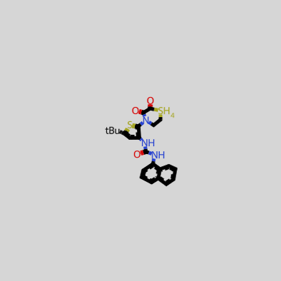 CC(C)(C)c1cc(NC(=O)Nc2cccc3ccccc23)c(N2CC[SH4]C(=O)C2=O)s1